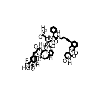 CN1CC[C@H]2CC[C@@H](C(=O)N[C@@H](CCC(N)=O)C(=O)N[C@H](C(=O)NCCC#Cc3cccc4c3CN(C3CCC(=O)NC3=O)C4=O)c3ccccc3)N2C(=O)[C@@H](NC(=O)c2cc3cc(C(F)(F)P(=O)(O)O)ccc3s2)C1